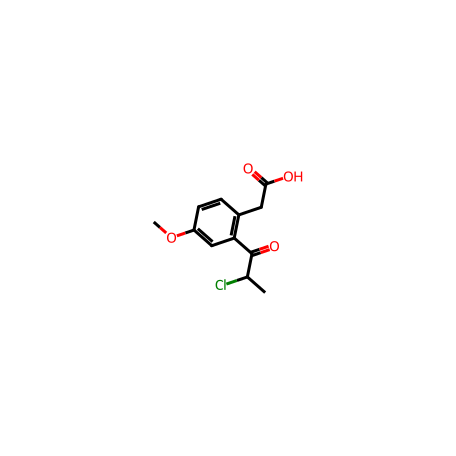 COc1ccc(CC(=O)O)c(C(=O)C(C)Cl)c1